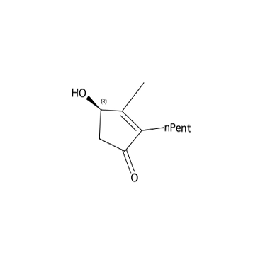 CCCCCC1=C(C)[C@H](O)CC1=O